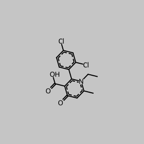 CCn1c(C)cc(=O)c(C(=O)O)c1-c1ccc(Cl)cc1Cl